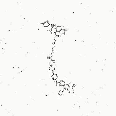 CC(=O)c1c(C)c2cnc(Nc3ccc(N4CCN(CC(=O)NCCOCCOCCC(=O)Nc5c(C(=O)Nc6ccc(C)cn6)ccc6[nH]ncc56)CC4)cn3)nc2n(C2CCCC2)c1=O